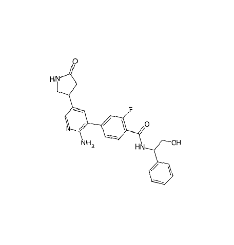 Nc1ncc(C2CNC(=O)C2)cc1-c1ccc(C(=O)NC(CO)c2ccccc2)c(F)c1